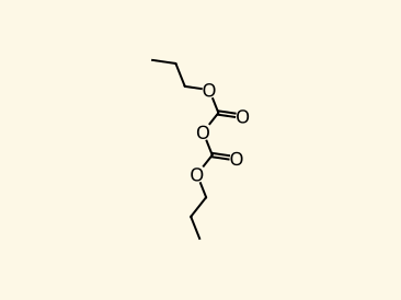 CCCOC(=O)OC(=O)OCCC